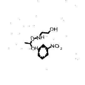 CC(O)ONCCO.O=[N+]([O-])c1ccccc1